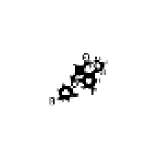 Cc1cc(Br)ccc1OCC12CC(C(=O)N3N=CCC3c3cc(F)cc(F)c3)(C1)C2